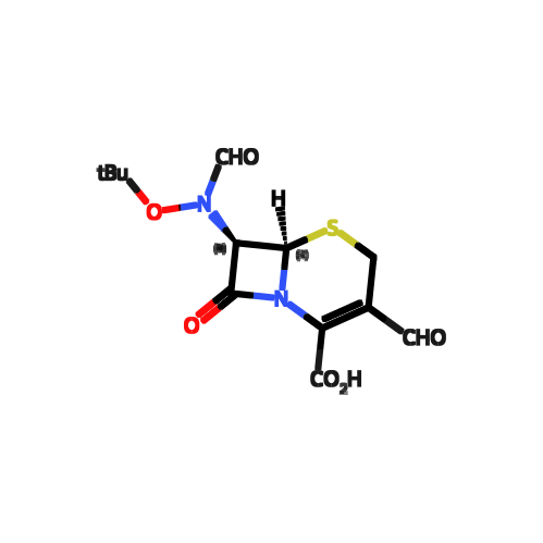 CC(C)(C)ON(C=O)[C@@H]1C(=O)N2C(C(=O)O)=C(C=O)CS[C@H]12